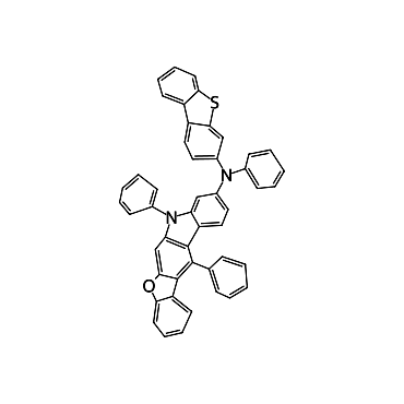 c1ccc(-c2c3c(cc4c2c2ccc(N(c5ccccc5)c5ccc6c(c5)sc5ccccc56)cc2n4-c2ccccc2)oc2ccccc23)cc1